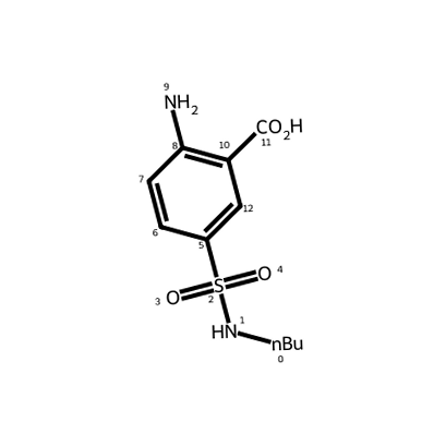 CCCCNS(=O)(=O)c1ccc(N)c(C(=O)O)c1